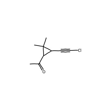 CC(=O)C1C(C#CCl)C1(C)C